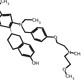 CCN(Cc1ccc(OCCN(C)CCOC)cc1)c1cc(OC)ccc1[C@H]1CCc2cc(O)ccc2C1